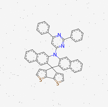 c1ccc(-c2cc(N3c4cc5ccccc5cc4C4(c5cc6ccccc6cc53)c3ccsc3-c3sccc34)nc(-c3ccccc3)n2)cc1